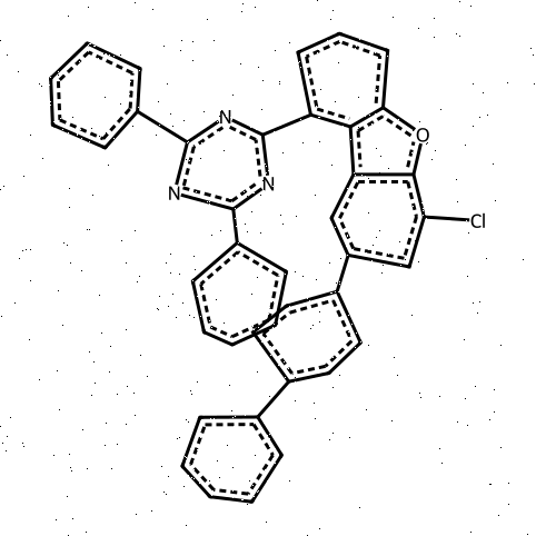 Clc1cc(-c2ccc(-c3ccccc3)cc2)cc2c1oc1cccc(-c3nc(-c4ccccc4)nc(-c4ccccc4)n3)c12